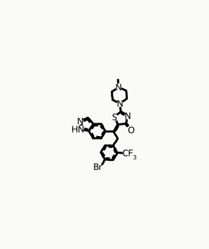 CN1CCN(C2=NC(=O)C(=C(Cc3ccc(Br)cc3C(F)(F)F)c3ccc4[nH]ncc4c3)S2)CC1